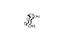 C(OCC1CO1)C1CO1.OCCCCCO